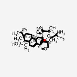 CC(C)[C@@H](C)[C@@]1(C)CC[C@]2(C)[C@H]3CC[C@@H]4[C@@]5(COC[C@]4(C)[C@@H](OC[C@](C)(N)C(C)C)[C@H](n4nnnc4CO)C5)C3=CC[C@@]2(C)[C@@H]1C(=O)O